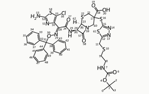 CC(C)(C)OC(=O)NCCSCc1nnc(SC2(C(=O)O)CS[C@@H]3[C@H](NC(=O)C(=NOC(c4ccccc4)(c4ccccc4)c4ccccc4)c4nc(N)sc4Cl)C(=O)N3C2)s1